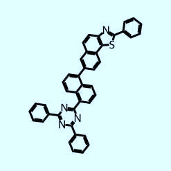 c1ccc(-c2nc(-c3ccccc3)nc(-c3cccc4c(-c5ccc6c(ccc7nc(-c8ccccc8)sc76)c5)cccc34)n2)cc1